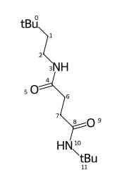 CC(C)(C)CCNC(=O)CCC(=O)NC(C)(C)C